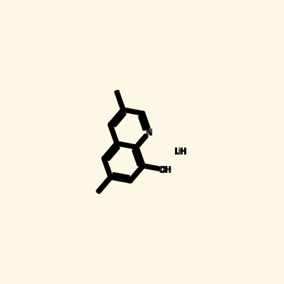 Cc1cnc2c(O)cc(C)cc2c1.[LiH]